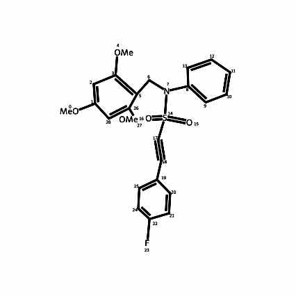 COc1cc(OC)c(CN(c2ccccc2)S(=O)(=O)C#Cc2ccc(F)cc2)c(OC)c1